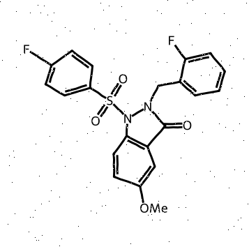 COc1ccc2c(c1)c(=O)n(Cc1ccccc1F)n2S(=O)(=O)c1ccc(F)cc1